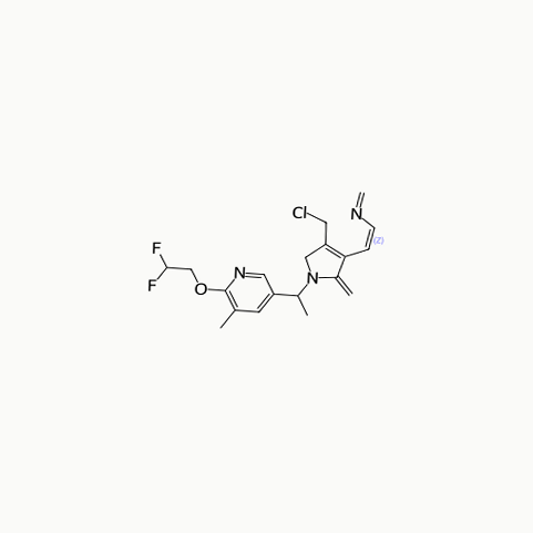 C=N/C=C\C1=C(CCl)CN(C(C)c2cnc(OCC(F)F)c(C)c2)C1=C